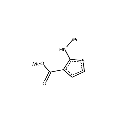 COC(=O)c1ccsc1NC(C)C